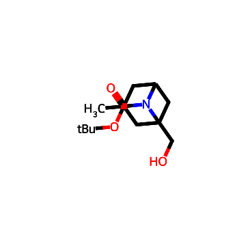 CC1CC2CC(CO)(C1)N2C(=O)OC(C)(C)C